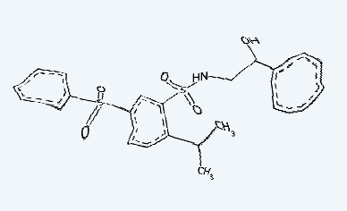 CC(C)c1ccc(S(=O)(=O)c2ccccc2)cc1S(=O)(=O)NCC(O)c1ccccc1